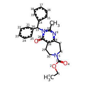 CCOC(=O)N1CCc2nc(C)n(C(c3ccccc3)c3ccccc3)c(=O)c2CC1